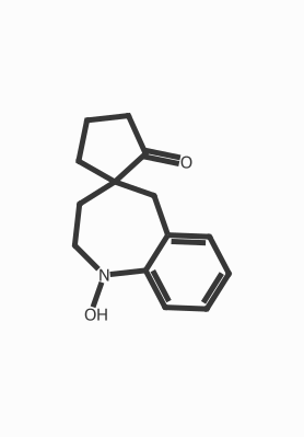 O=C1CCCC12CCN(O)c1ccccc1C2